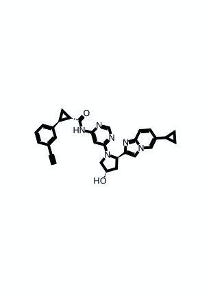 C#Cc1cccc([C@H]2C[C@@H]2C(=O)Nc2cc(N3C[C@@H](O)C[C@@H]3c3cn4cc(C5CC5)ccc4n3)ncn2)c1